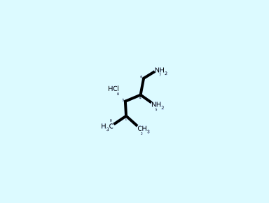 CC(C)CC(N)CN.Cl